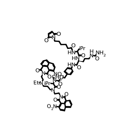 CCN(CCCN(CCN1C(=O)c2cccc3ccc([N+](=O)[O-])c(c23)C1=O)C(=O)C(C(C)C)N(C)C(=O)OCc1ccc(NC(=O)[C@H](CCCNC(N)=O)NC(=O)C(NC(=O)CCCCCN2C(=O)C=CC2=O)C(C)C)cc1)CCN1C(=O)c2cccc3ccc([N+](=O)[O-])c(c23)C1=O